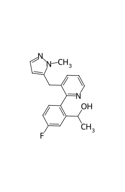 CC(O)c1cc(F)ccc1-c1ncccc1Cc1ccnn1C